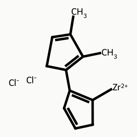 CC1=CCC(C2=[C]([Zr+2])CC=C2)=C1C.[Cl-].[Cl-]